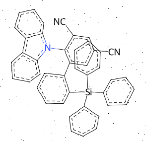 N#Cc1cc(C#N)c(-n2c3ccccc3c3ccccc32)c(-c2ccccc2[Si](c2ccccc2)(c2ccccc2)c2ccccc2)c1